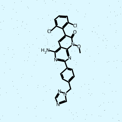 COn1c(=O)c(-c2c(Cl)cccc2Cl)cc2c(N)nc(-c3ccc(Cn4cncn4)cc3)nc21